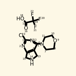 Clc1nc2c(c(N3CCOCC3)n1)CNC2.O=C(O)C(F)(F)F